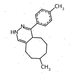 Cc1ccc(C2=NNC=C3CCC(C)CCCC32)cc1